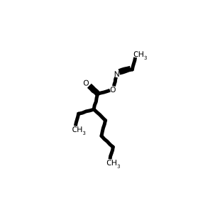 CC=NOC(=O)C(CC)CCCC